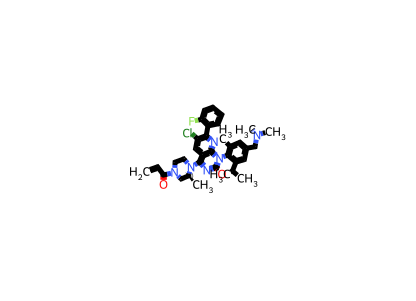 C=CC(=O)N1CCN(c2nc(=O)n(-c3c(C)cc(CN(C)C)cc3C(C)C)c3nc(-c4ccccc4F)c(Cl)cc23)[C@@H](C)C1